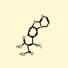 NC(=C(C(=O)O)C(=O)O)c1ccc2c(c1)N1CC=CN=C1S2